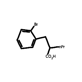 CCCC(Cc1ccccc1Br)C(=O)O